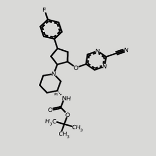 CC(C)(C)OC(=O)N[C@@H]1CCCN(C2CC(c3ccc(F)cc3)CC2Oc2cnc(C#N)nc2)C1